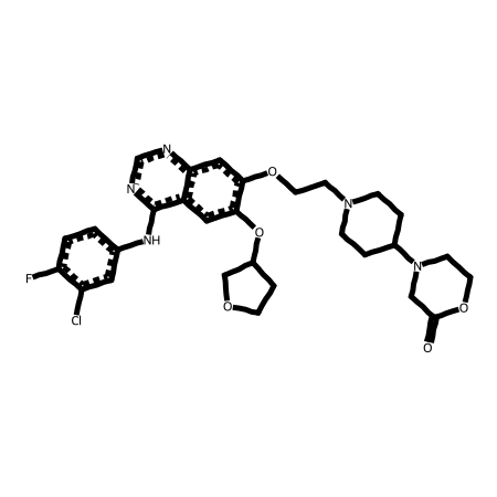 O=C1CN(C2CCN(CCOc3cc4ncnc(Nc5ccc(F)c(Cl)c5)c4cc3OC3CCOC3)CC2)CCO1